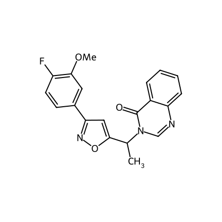 COc1cc(-c2cc(C(C)n3cnc4ccccc4c3=O)on2)ccc1F